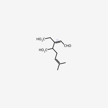 CC(C)=CCC(C(=O)O)/C(=C\C=O)CC(=O)O